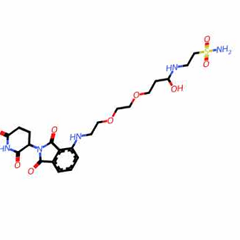 NS(=O)(=O)CCNC(O)CCOCCOCCNc1cccc2c1C(=O)N(C1CCC(=O)NC1=O)C2=O